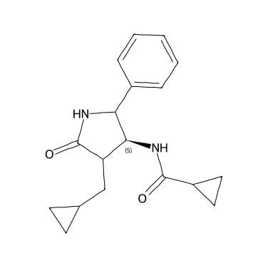 O=C(N[C@H]1C(CC2CC2)C(=O)NC1c1ccccc1)C1CC1